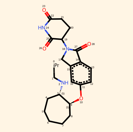 CC(C)CN[C@H]1CCCCC[C@@H]1Oc1ccc2c(c1)CN(C1CCC(=O)NC1=O)C2=O